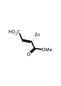 COC(=O)C=CC(=O)O.[Zn]